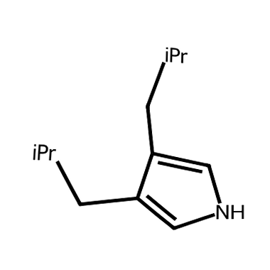 CC(C)Cc1c[nH]cc1CC(C)C